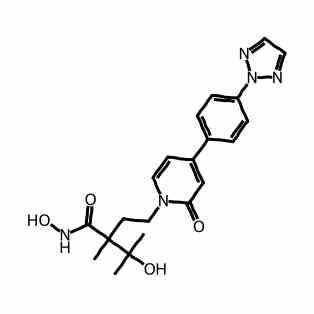 CC(C)(O)C(C)(CCn1ccc(-c2ccc(-n3nccn3)cc2)cc1=O)C(=O)NO